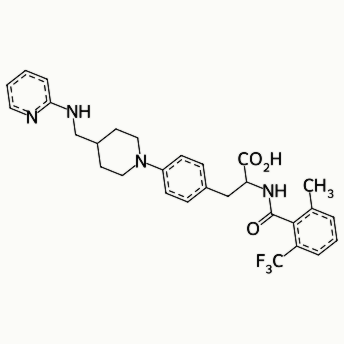 Cc1cccc(C(F)(F)F)c1C(=O)NC(Cc1ccc(N2CCC(CNc3ccccn3)CC2)cc1)C(=O)O